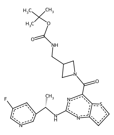 C[C@H](Nc1nc(C(=O)N2CC(CNC(=O)OC(C)(C)C)C2)c2sccc2n1)c1cncc(F)c1